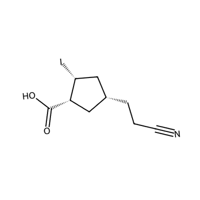 N#CCC[C@H]1C[C@@H](I)[C@@H](C(=O)O)C1